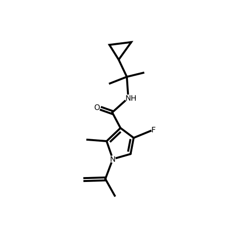 C=C(C)n1cc(F)c(C(=O)NC(C)(C)C2CC2)c1C